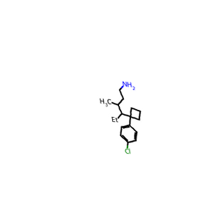 CCC(C(C)CCN)C1(c2ccc(Cl)cc2)CCC1